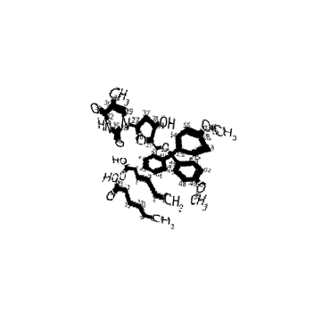 CCCCCC(=O)O.CCCCCC(=O)O.COc1ccc(C(OC[C@H]2O[C@@H](n3cc(C)c(=O)[nH]c3=O)CC2O)(c2ccccc2)c2ccc(OC)cc2)cc1